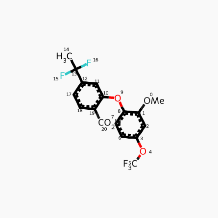 COc1cc(OC(F)(F)F)ccc1Oc1cc(C(C)(F)F)ccc1C(=O)O